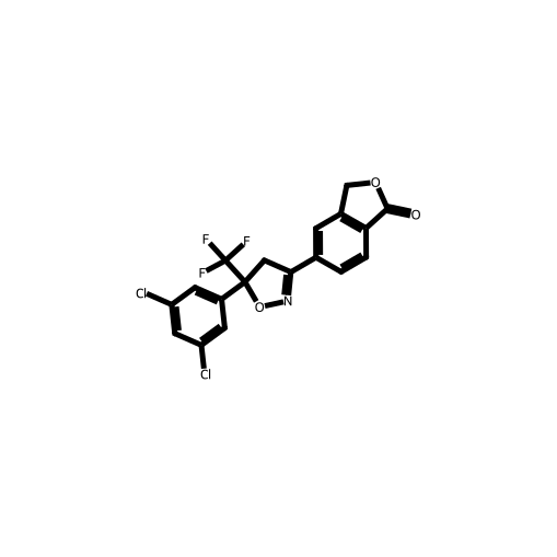 O=C1OCc2cc(C3=NOC(c4cc(Cl)cc(Cl)c4)(C(F)(F)F)C3)ccc21